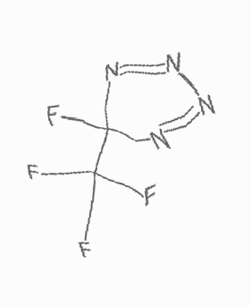 FC(F)(F)C1(F)N=NN=N1